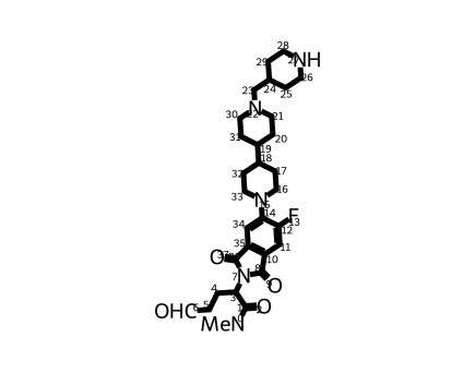 CNC(=O)C(CCC=O)N1C(=O)c2cc(F)c(N3CCC(C4CCN(CC5CCNCC5)CC4)CC3)cc2C1=O